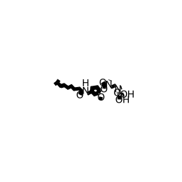 COc1cc(CNC(=O)CCCC/C=C/C(C)C)ccc1OC(=O)N(C)CCN(C)OP(O)O